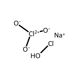 OCl.[Na+].[O-][Cl+2]([O-])[O-]